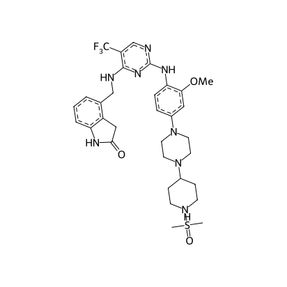 COc1cc(N2CCN(C3CCN([SH](C)(C)=O)CC3)CC2)ccc1Nc1ncc(C(F)(F)F)c(NCc2cccc3c2CC(=O)N3)n1